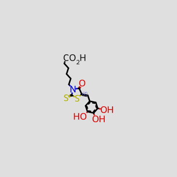 O=C(O)CCCCCN1C(=O)/C(=C/c2cc(O)c(O)c(O)c2)SC1=S